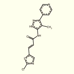 Cc1c(-c2ccncc2)n[nH]c1NC(=O)C=Cc1cnc(Cl)s1